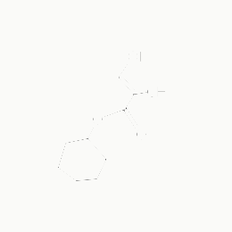 CC(=CO)C(=O)OC1CCCCC1